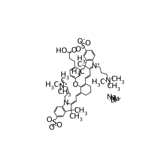 CC1(C)C(=CC=C2CCCC(C=CC3=[N+](CCC[N+](C)(C)C)c4ccc(S(=O)(=O)[O-])cc4C3(C)C)=C2Oc2ccc(CCC(=O)O)cc2)N(CCC[N+](C)(C)C)c2ccc(S(=O)(=O)[O-])cc21.[Br-].[Na].[Na]